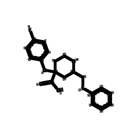 O=C(O)C1(Oc2ccc(F)cc2)CCOC(CSc2ccccc2)C1